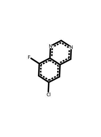 Fc1cc(Cl)cc2cncnc12